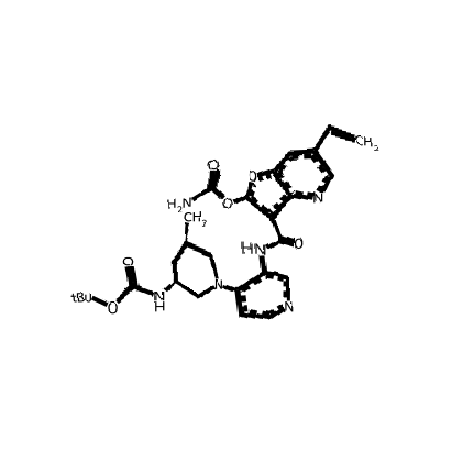 C=Cc1cnc2c(C(=O)Nc3cnccc3N3C[C@H](C)C[C@H](NC(=O)OC(C)(C)C)C3)c(OC(N)=O)oc2c1